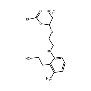 CCC(=O)OC(CC(=O)O)OCCNc1cccc(C)c1CCC#N